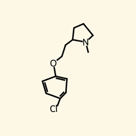 CN1CCCC1CCOc1ccc(Cl)cc1